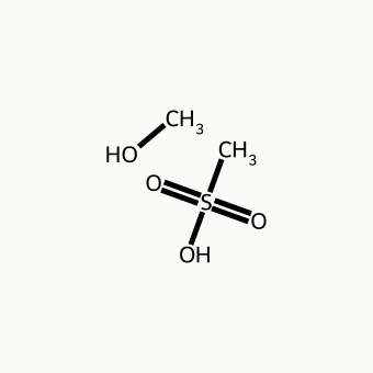 CO.CS(=O)(=O)O